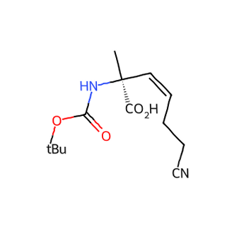 CC(C)(C)OC(=O)N[C@@](C)(/C=C\CCC#N)C(=O)O